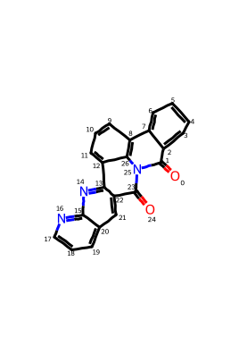 O=c1c2ccccc2c2cccc3c4nc5ncccc5cc4c(=O)n1c23